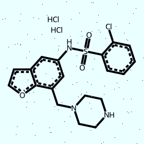 Cl.Cl.O=S(=O)(Nc1cc(CN2CCNCC2)c2occc2c1)c1ccccc1Cl